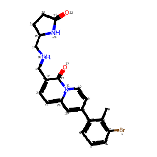 Cc1c(Br)cccc1-c1ccn2c(=O)c(CNCC3CCC(=O)N3)ccc2c1